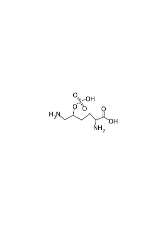 NCC(CCC(N)C(=O)O)OS(=O)(=O)O